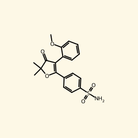 COc1ccccc1C1=C(c2ccc(S(N)(=O)=O)cc2)OC(C)(C)C1=O